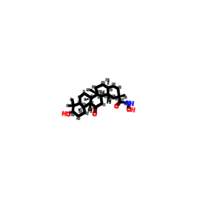 CC1(C)C2CC[C@]3(C)[C@H](C(=O)C[C@@H]4[C@H]5C[C@@](C)(C(=O)NO)CC[C@]5(C)CC[C@]43C)[C@@]2(C)CC[C@@H]1O